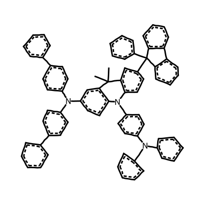 CC1(C)c2cc(N(c3ccc(-c4ccccc4)cc3)c3ccc(-c4ccccc4)cc3)ccc2N(c2ccc(N(c3ccccc3)c3ccccc3)cc2)c2ccc(C3(c4ccccc4)c4ccccc4-c4ccccc43)cc21